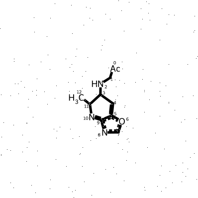 CC(=O)CNC1C=c2ocnc2=NC1C